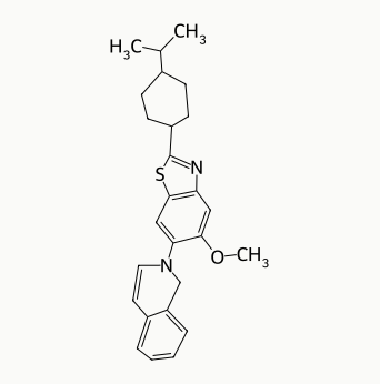 COc1cc2nc(C3CCC(C(C)C)CC3)sc2cc1N1C=Cc2ccccc2C1